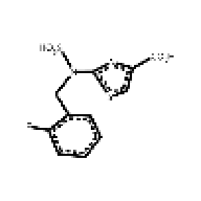 O=C(O)c1csc(N(Cc2ccccc2F)S(=O)(=O)O)n1